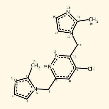 Cc1nccn1Cc1cc(Cl)c(Cn2ccnc2C)nn1